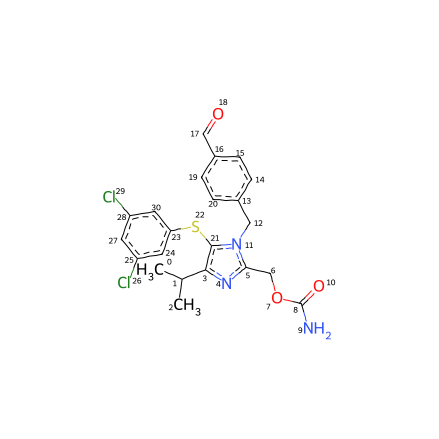 CC(C)c1nc(COC(N)=O)n(Cc2ccc(C=O)cc2)c1Sc1cc(Cl)cc(Cl)c1